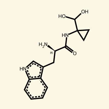 N[C@H](Cc1c[nH]c2ccccc12)C(=O)NC1(C(O)O)CC1